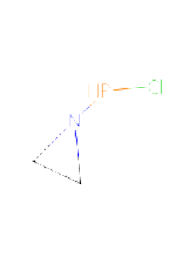 ClPN1CC1